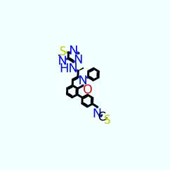 C[C@H](Nc1ncnc2scnc12)c1cc2cccc(-c3ccc(CN=C=S)cc3)c2c(=O)n1-c1ccccc1